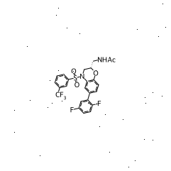 CC(=O)NC[C@H]1CN(S(=O)(=O)c2cccc(C(F)(F)F)c2)c2cc(-c3cc(F)ccc3F)ccc2O1